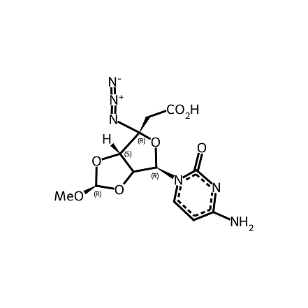 CO[C@@H]1OC2[C@H](n3ccc(N)nc3=O)O[C@@](CC(=O)O)(N=[N+]=[N-])[C@H]2O1